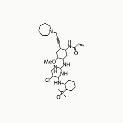 C=CC(=O)NC1CC(NC2NCC(Cl)C(NC3CCCCC3P(C)(C)=O)N2)C(OC)CC1C#CCN1CCCCCC1